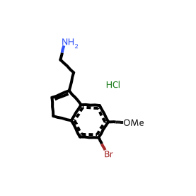 COc1cc2c(cc1Br)CC=C2CCN.Cl